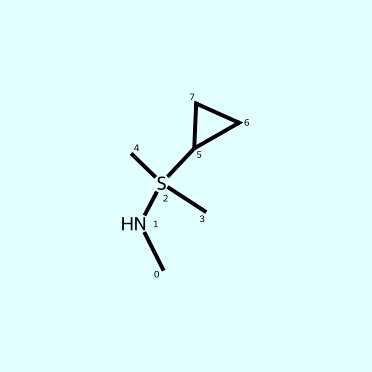 CNS(C)(C)C1CC1